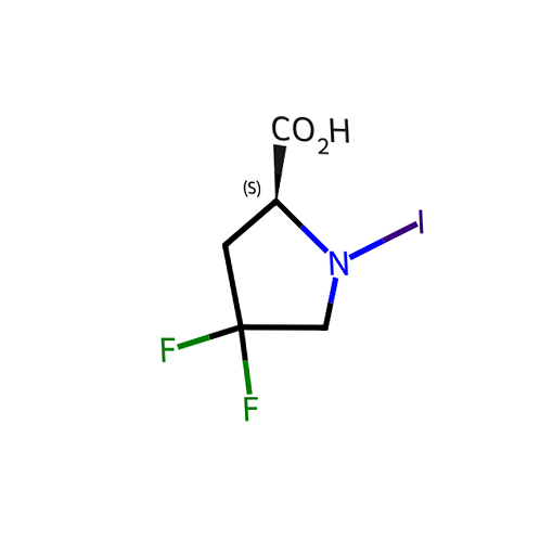 O=C(O)[C@@H]1CC(F)(F)CN1I